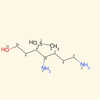 CS(=O)(=O)O.NCCCC(N)CCCO